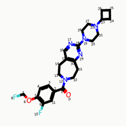 O=C(c1ccc(OCF)c(F)c1)N1CCc2cnc(N3CCN(C4CCC4)CC3)nc2CC1